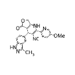 [C-]#[N+]C1=C(c2ccc(OC)cn2)NC2=C(C(=O)OC2)C1c1ccc2[nH]nc(C)c2c1